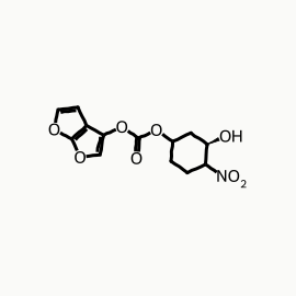 O=C(Oc1coc2occc12)OC1CCC([N+](=O)[O-])[C@H](O)C1